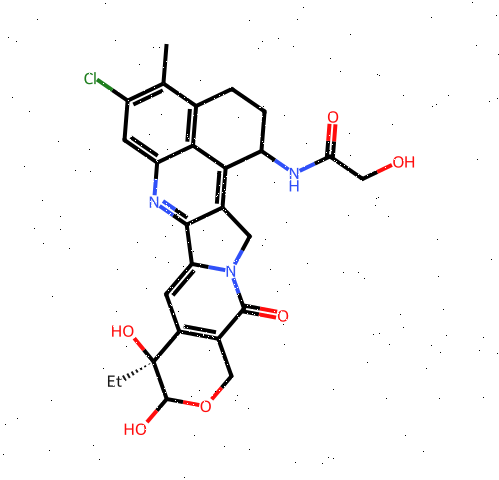 CC[C@]1(O)c2cc3n(c(=O)c2COC1O)Cc1c-3nc2cc(Cl)c(C)c3c2c1C(NC(=O)CO)CC3